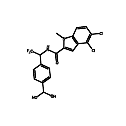 Cn1c(C(=O)NC(c2ccc(C(O)O)cc2)C(F)(F)F)cc2c(Cl)c(Cl)ccc21